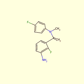 C=C(c1cccc(N)c1F)N(C)c1ccc(F)cc1